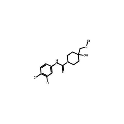 CCSCC1(O)CCN(C(=O)Nc2ccc(Cl)c(Cl)c2)CC1